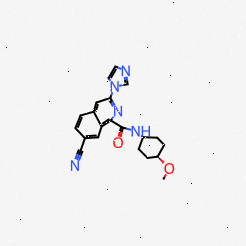 CO[C@H]1CC[C@H](NC(=O)c2nc(-n3ccnc3)cc3ccc(C#N)cc23)CC1